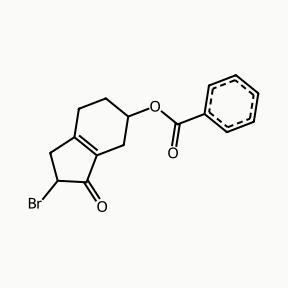 O=C(OC1CCC2=C(C1)C(=O)C(Br)C2)c1ccccc1